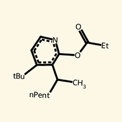 CCCCCC(C)c1c(C(C)(C)C)ccnc1OC(=O)CC